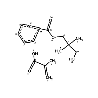 C=C(C)C(=O)O.CC(C)(CO)COC(=O)c1ccccc1